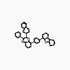 c1ccc2cc(-c3nc4c(-c5ccc(-c6cccc7c6sc6ccccc67)cc5)cccc4nc3-c3ccccc3)ccc2c#1